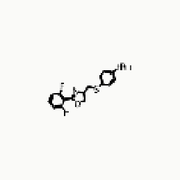 CC(C)(C)c1ccc(SCC2COC(c3c(F)cccc3F)=N2)cc1